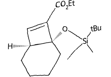 CCOC(=O)C1=C[C@@H]2CCCC[C@]12O[Si](C)(C)C(C)(C)C